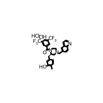 Cc1ccc(C[C@@H]2CN(Cc3ccc4ncccc4c3)CCN2C(=O)c2cc(C(F)(F)F)cc(C(F)(F)F)c2)cc1O.Cl.Cl